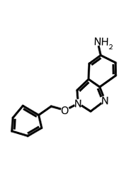 Nc1ccc2c(c1)=CN(OCc1ccccc1)CN=2